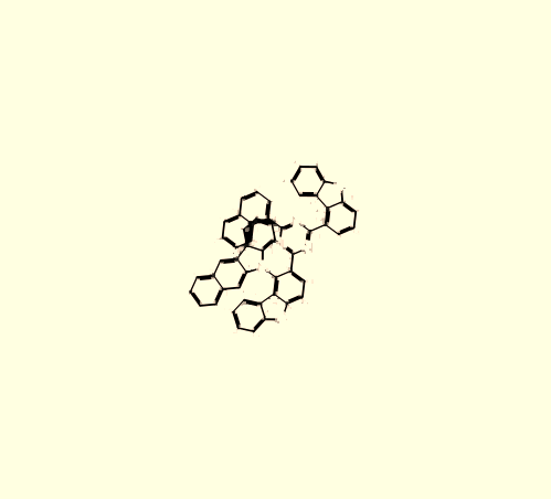 c1ccc2cc3c(cc2c1)c1ccccc1n3-c1c(-c2nc(-c3cccc4ccccc34)nc(-c3cccc4oc5ccccc5c34)n2)ccc2oc3ccccc3c12